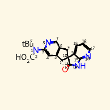 CC(C)(C)N(C(=O)O)c1cc2c(cn1)CC1(C2)C(=O)Nc2ncccc21